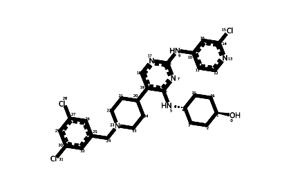 O[C@H]1CC[C@H](Nc2nc(Nc3ccnc(Cl)c3)ncc2C2CCN(Cc3cc(Cl)cc(Cl)c3)CC2)CC1